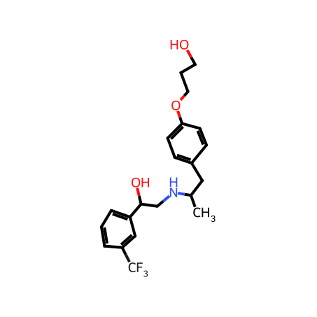 CC(Cc1ccc(OCCCO)cc1)NCC(O)c1cccc(C(F)(F)F)c1